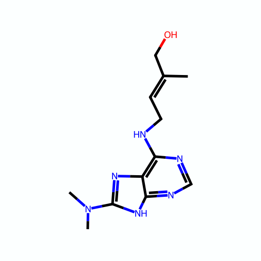 C/C(=C\CNc1ncnc2[nH]c(N(C)C)nc12)CO